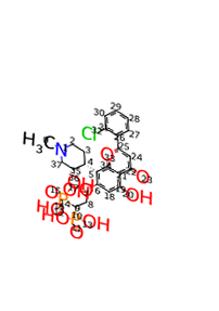 CN1CC[C@H](c2c(OCC(P(=O)(O)O)P(=O)(O)O)cc(O)c3c(=O)cc(-c4ccccc4Cl)oc23)[C@H](O)C1